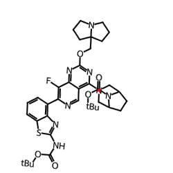 CC(C)(C)OC(=O)Nc1nc2c(-c3ncc4c(N5CC6CCC(C5)N6C(=O)OC(C)(C)C)nc(OCC56CCCN5CCC6)nc4c3F)cccc2s1